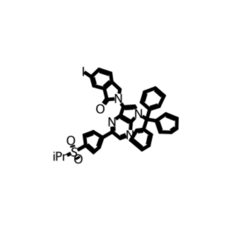 CC(C)S(=O)(=O)c1ccc(-c2cnc3c(n2)c(N2Cc4ccc(I)cc4C2=O)cn3C(c2ccccc2)(c2ccccc2)c2ccccc2)cc1